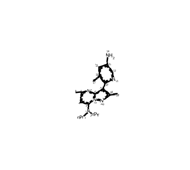 CCCN(CCC)c1cc(C)nc2c(-c3ncc(N)cc3C)c(C)nn12